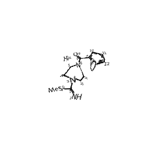 CSC(=N)N1CCN(C(=O)c2ccco2)CC1.I